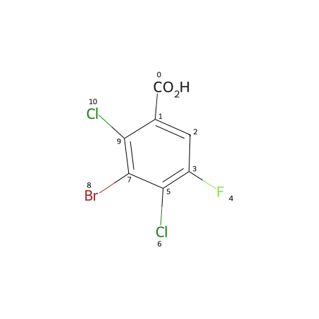 O=C(O)c1cc(F)c(Cl)c(Br)c1Cl